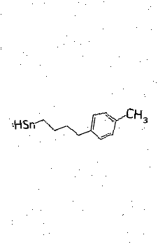 Cc1ccc(CCC[CH2][SnH])cc1